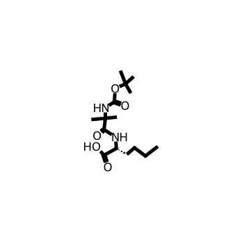 CCCC[C@@H](NC(=O)C(C)(C)NC(=O)OC(C)(C)C)C(=O)O